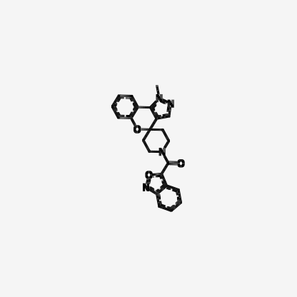 Cn1ncc2c1-c1ccccc1OC21CCN(C(=O)c2onc3ccccc23)CC1